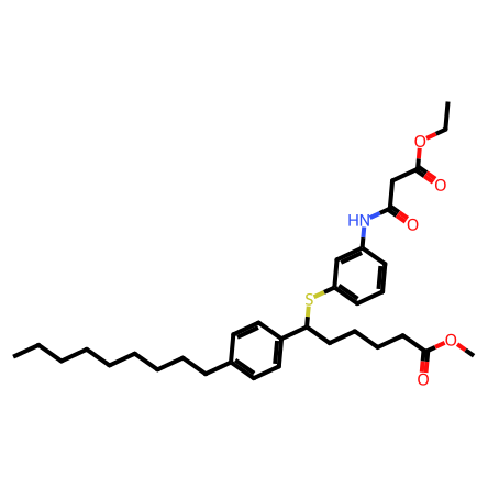 CCCCCCCCCc1ccc(C(CCCCC(=O)OC)Sc2cccc(NC(=O)CC(=O)OCC)c2)cc1